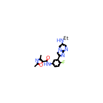 CCNc1cnc2nc(-c3cc(NC(=O)c4oc(C)nc4C)ccc3F)cn2c1